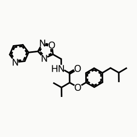 CC(C)Cc1ccc(OC(C(=O)NCc2nc(-c3cccnc3)no2)C(C)C)cc1